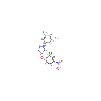 O=[N+]([O-])c1ccc(OC2CCN(c3cc(F)cc(F)c3)C2)c(Cl)c1